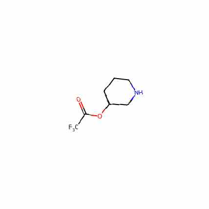 O=C(OC1CCCNC1)C(F)(F)F